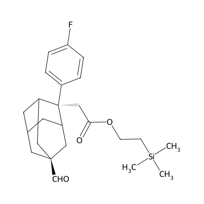 C[Si](C)(C)CCOC(=O)C[C@]1(c2ccc(F)cc2)C2CC3CC1C[C@@](C=O)(C3)C2